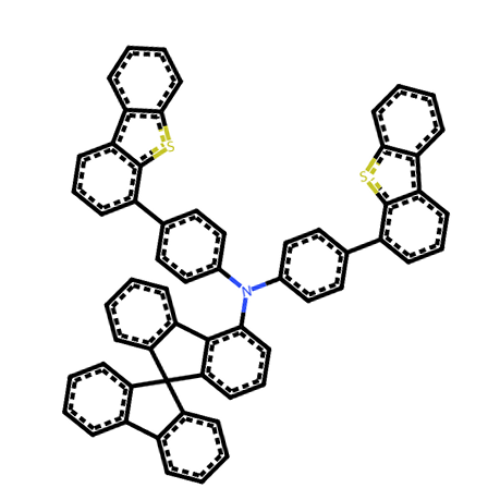 c1ccc2c(c1)-c1ccccc1C21c2ccccc2-c2c(N(c3ccc(-c4cccc5c4sc4ccccc45)cc3)c3ccc(-c4cccc5c4sc4ccccc45)cc3)cccc21